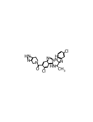 CC(Nc1ncnc2cc(C(=O)N3CCc4[nH]cnc4C3)c(Cl)cc12)c1nc2cc(Cl)ccc2[nH]1